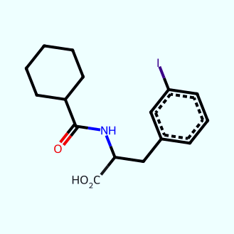 O=C(NC(Cc1cccc(I)c1)C(=O)O)C1CCCCC1